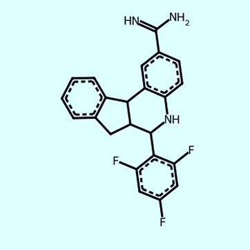 N=C(N)c1ccc2c(c1)C1c3ccccc3CC1C(c1c(F)cc(F)cc1F)N2